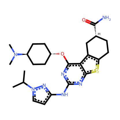 CC(C)n1ccc(Nc2nc(O[C@H]3CC[C@H](N(C)C)CC3)c3c4c(sc3n2)CC[C@@H](C(N)=O)C4)n1